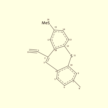 C#CC1=Cc2ccc(C)cc2Sc2ccc(SC)cc21